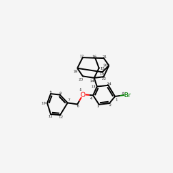 Brc1ccc(OCc2ccccc2)c(C23CC4CC(CC(C4)C2)C3)c1